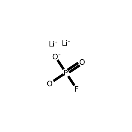 O=P([O-])([O-])F.[Li+].[Li+]